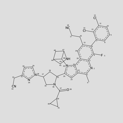 Cc1nc2c(F)c(-c3cccc(Cl)c3Cl)c(CCC#N)cc2c2c1cc(C1CC(n3ccc(CC#N)n3)CN1C(=O)C1CC1)n2C1C2CNC1C2